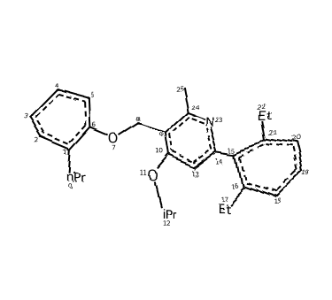 CCCc1ccccc1OCc1c(OC(C)C)cc(-c2c(CC)cccc2CC)nc1C